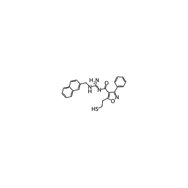 N/C(=N\C(=O)c1c(-c2ccccc2)noc1CCS)NCc1ccc2ccccc2c1